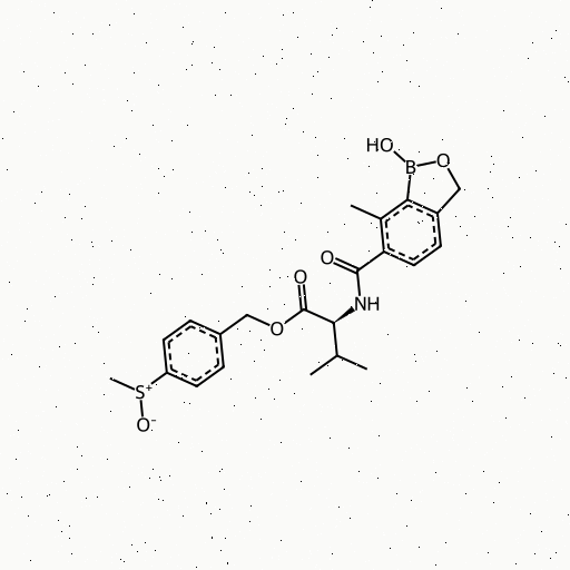 Cc1c(C(=O)N[C@H](C(=O)OCc2ccc([S+](C)[O-])cc2)C(C)C)ccc2c1B(O)OC2